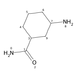 NC(=O)C1CCCC(N)C1